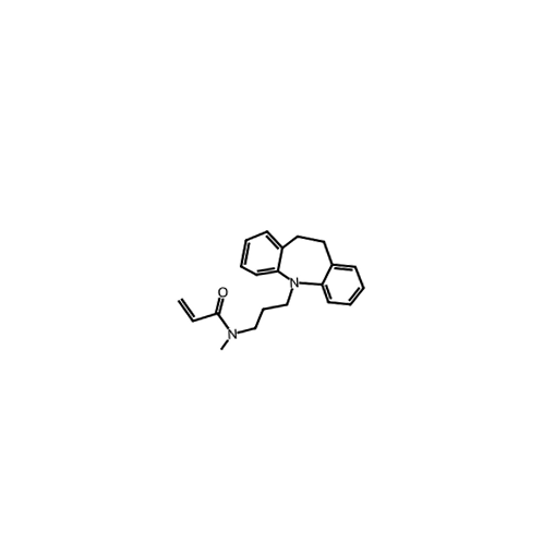 C=CC(=O)N(C)CCCN1c2ccccc2CCc2ccccc21